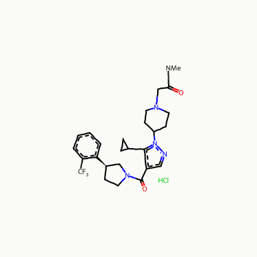 CNC(=O)CN1CCC(n2ncc(C(=O)N3CC[C@@H](c4ccccc4C(F)(F)F)C3)c2C2CC2)CC1.Cl